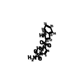 NS(=O)(=O)N1C=CN(S(=O)(=O)c2cc3ccccc3[nH]2)N1